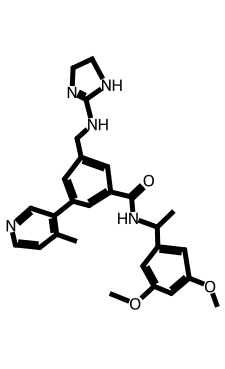 COc1cc(OC)cc(C(C)NC(=O)c2cc(CNC3=NCCN3)cc(-c3cnccc3C)c2)c1